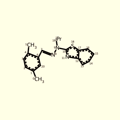 Cc1ccc(C)c(/C=N/N(c2nc3ccccc3s2)C(C)C)c1